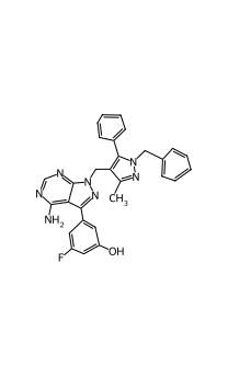 Cc1nn(Cc2ccccc2)c(-c2ccccc2)c1Cn1nc(-c2cc(O)cc(F)c2)c2c(N)ncnc21